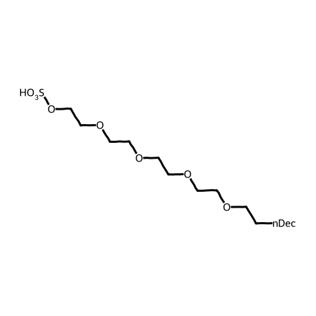 CCCCCCCCCCCCOCCOCCOCCOCCOS(=O)(=O)O